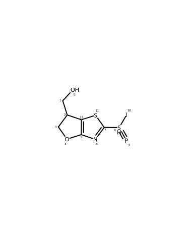 OCC1COc2nc([SH](#P)I)sc21